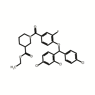 CCOC(=O)C1CCCN(C(=O)c2ccc(OC(c3ccc(Cl)cc3)c3ccc(Cl)cc3Cl)c(F)c2)C1